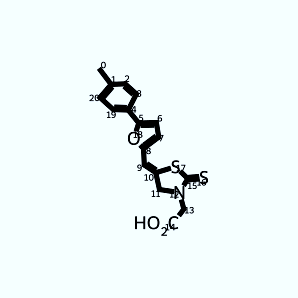 Cc1ccc(-c2ccc(/C=C3/CN(CC(=O)O)C(=S)S3)o2)cc1